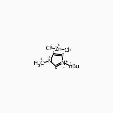 CCCC[n+]1ccn(C)c1.[Cl][Zn][Cl]